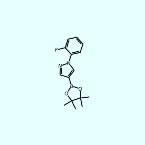 CC1(C)OB(c2cnn(-c3ccccc3F)c2)OC1(C)C